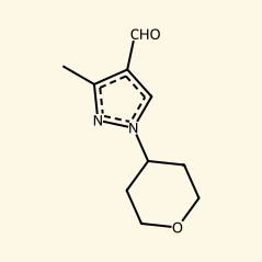 Cc1nn(C2CCOCC2)cc1C=O